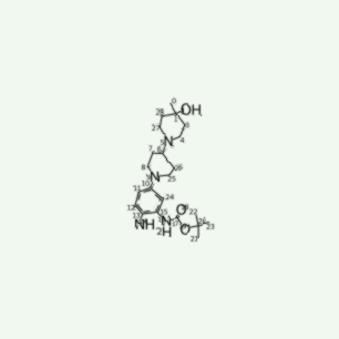 CC1(O)CCN(C2CCN(c3ccc(N)c(NC(=O)OC(C)(C)C)c3)CC2)CC1